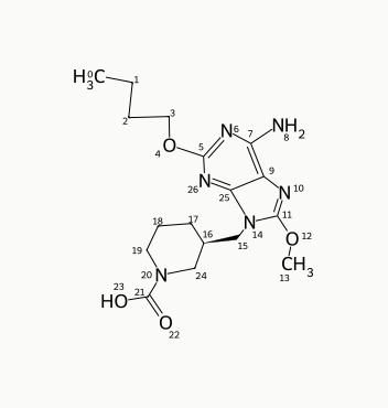 CCCCOc1nc(N)c2nc(OC)n(C[C@@H]3CCCN(C(=O)O)C3)c2n1